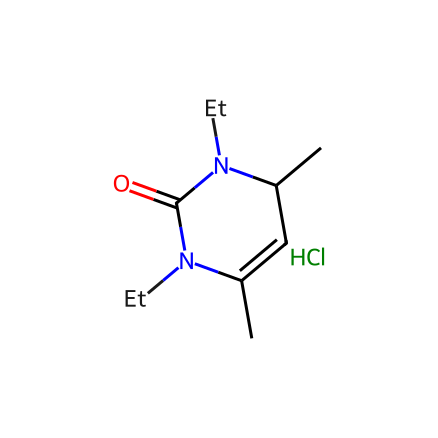 CCN1C(=O)N(CC)C(C)C=C1C.Cl